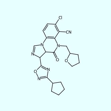 N#Cc1c(Cl)ccc2c1N(CC1CCCO1)C(=O)C1C(c3nc(C4CCCC4)no3)N=CN21